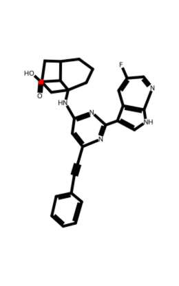 O=C(O)C1C2CCCC1(Nc1cc(C#Cc3ccccc3)nc(-c3c[nH]c4ncc(F)cc34)n1)CCC2